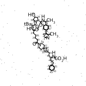 Cc1ncsc1-c1ccc([C@H](C)NC(=O)[C@@H]2C[C@@H](O)CN2C(=O)[C@@H](NC(=O)CCCCC(=O)N2CCC3(CC2)CN(CC[C@H](CSc2ccccc2)NC(=O)O)C3)C(C)(C)C)cc1